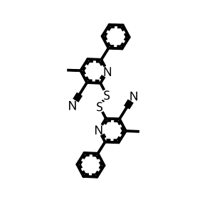 Cc1cc(-c2ccccc2)nc(SSc2nc(-c3ccccc3)cc(C)c2C#N)c1C#N